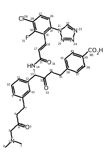 CN(C)CC(=O)CCc1cccc([C@H](NC(=O)/C=C/c2c(-n3cnnn3)ccc(Cl)c2F)C(=O)CCc2ccc(C(=O)O)cc2)c1